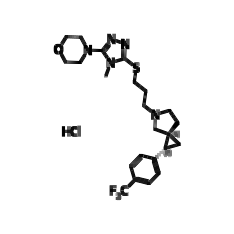 Cl.Cn1c(SCCCN2CC[C@]3(C[C@@H]3c3ccc(C(F)(F)F)cc3)C2)nnc1N1CCOCC1